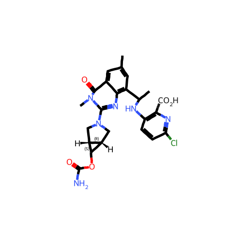 Cc1cc(C(C)Nc2ccc(Cl)nc2C(=O)O)c2nc(N3C[C@@H]4C(OC(N)=O)[C@@H]4C3)n(C)c(=O)c2c1